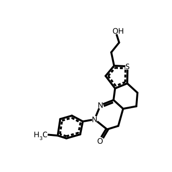 Cc1ccc(N2N=C3c4cc(CCO)sc4CCC3CC2=O)cc1